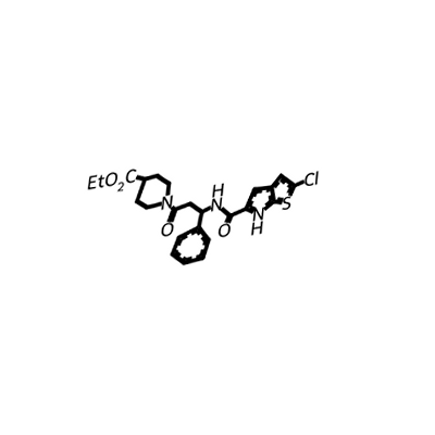 CCOC(=O)C1CCN(C(=O)CC(NC(=O)c2cc3cc(Cl)sc3[nH]2)c2ccccc2)CC1